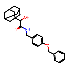 O=C(NCc1ccc(OCc2ccccc2)cc1)C(O)C12CC3CC(CC(C3)C1)C2